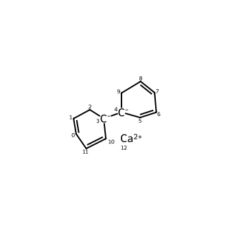 C1=CC[C-]([C-]2C=CC=CC2)C=C1.[Ca+2]